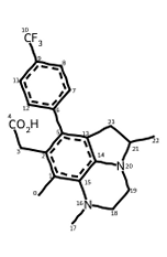 Cc1c(CC(=O)O)c(-c2ccc(C(F)(F)F)cc2)c2c3c1N(C)CCN3C(C)C2